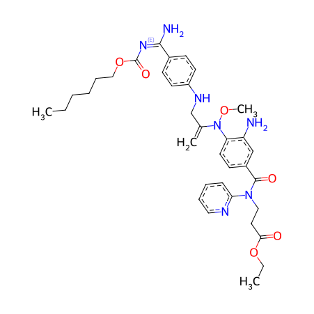 C=C(CNc1ccc(/C(N)=N\C(=O)OCCCCCC)cc1)N(OC)c1ccc(C(=O)N(CCC(=O)OCC)c2ccccn2)cc1N